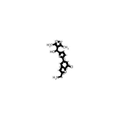 Cc1noc(C)c1C(O)c1ccc(-c2cc(Cl)c3oc(CN)cc3c2)s1